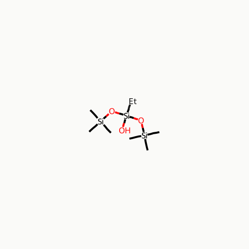 CC[Si](O)(O[Si](C)(C)C)O[Si](C)(C)C